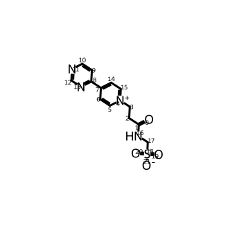 O=C(CC[n+]1ccc(-c2ccncn2)cc1)NCS(=O)(=O)[O-]